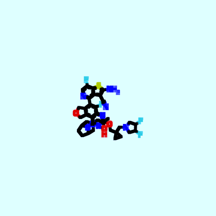 C[C@@H](O)CN1CC2CCC(C1)N2c1nc(OCC2(CN3C[C@@H](F)[C@@H](F)C3)CC2)nc2c(F)c(-c3ncc(F)c4sc(N)c(C#N)c34)c3c(c12)COC3